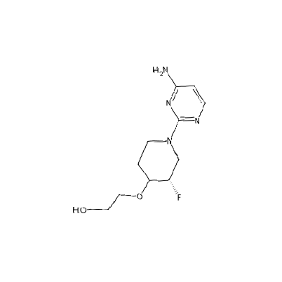 Nc1ccnc(N2CCC(OCCO)[C@@H](F)C2)n1